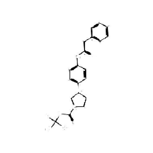 CC(C)(C)OC(=O)N1CC[C@H](c2ccc(NC(=O)Cc3ccccc3)cc2)C1